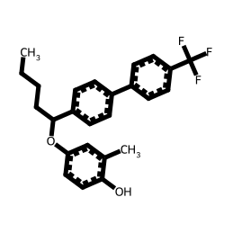 CCCCC(Oc1ccc(O)c(C)c1)c1ccc(-c2ccc(C(F)(F)F)cc2)cc1